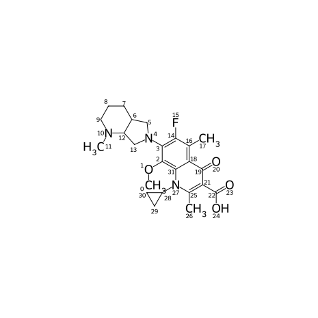 COc1c(N2CC3CCCN(C)C3C2)c(F)c(C)c2c(=O)c(C(=O)O)c(C)n(C3CC3)c12